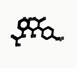 COC(=O)C(C1CCN(C(=O)O)CC1)C(O)c1cnccc1NC(=O)C(C)(C)C